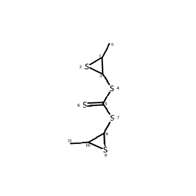 CC1SC1SC(=S)SC1SC1C